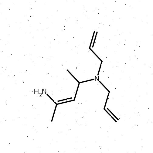 C=CCN(CC=C)C(C)C=C(C)N